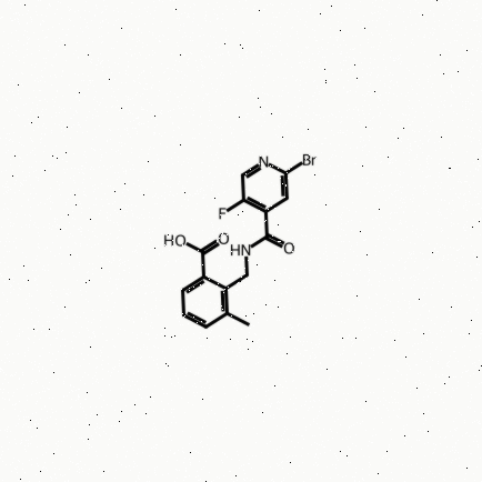 Cc1cccc(C(=O)O)c1CNC(=O)c1cc(Br)ncc1F